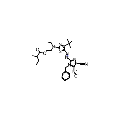 [C-]#[N+]c1c(C#N)nc(/N=N/c2sc(N(CC)CCOC(=O)C(C)CC)nc2C(C)(C)C)n1Cc1ccccc1